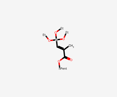 CCCCCOC(=O)C(C)=C[Si](OCC)(OCC)OCC